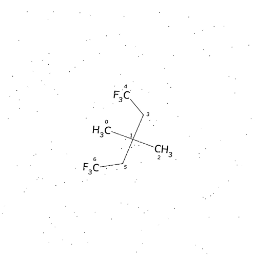 CC(C)(CC(F)(F)F)CC(F)(F)F